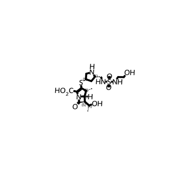 C[C@@H](O)[C@H]1C(=O)N2C(C(=O)O)=C(S[C@@H]3CN[C@H](CNS(=O)(=O)NCCO)C3)[C@H](C)[C@H]12